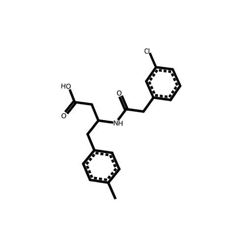 Cc1ccc(CC(CC(=O)O)NC(=O)Cc2cccc(Cl)c2)cc1